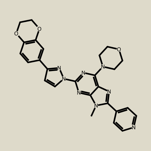 Cn1c(-c2ccncc2)nc2c(N3CCOCC3)nc(-n3ccc(-c4ccc5c(c4)OCCO5)n3)nc21